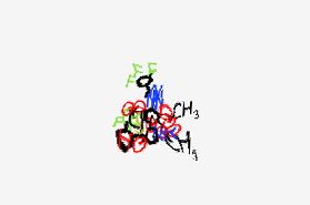 CC(=O)OC[C@H]1O[C@@H](S[C@H](c2ccccc2C(F)(F)F)C2(O)CCNCC2)[C@H](OC(C)=O)[C@@H](n2cc(-c3cc(F)c(F)c(F)c3)nn2)[C@H]1OC(C)=O